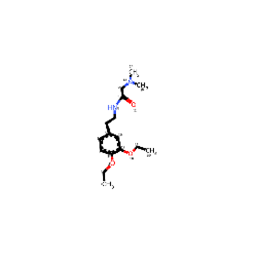 CCOc1ccc(CCNC(=O)CN(C)C)cc1OCC